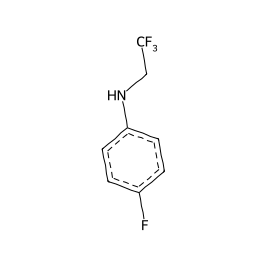 Fc1ccc(NCC(F)(F)F)cc1